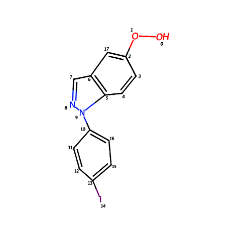 OOc1ccc2c(cnn2-c2ccc(I)cc2)c1